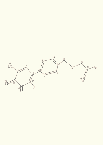 CCc1cc(-c2ccc(CCCC(C)=N)cc2)c(C)[nH]c1=O